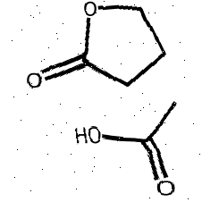 CC(=O)O.O=C1CCCO1